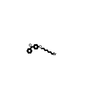 O=C(c1ccccc1)c1ccc(OCCCCCCCBr)cc1